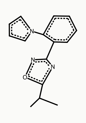 CC(C)c1nc(-c2ccccc2-n2cccc2)no1